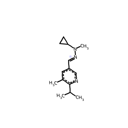 Cc1cc(/C=N/N(C)C2CC2)cnc1C(C)C